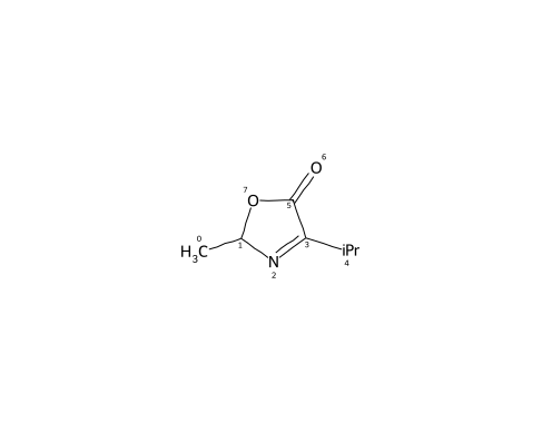 CC1N=C(C(C)C)C(=O)O1